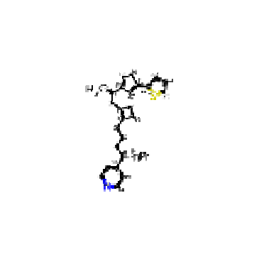 C=C(CC1=C(CCC[C@H](CCC)c2ccncc2)CC1)C1=CCC(c2cccs2)=C1